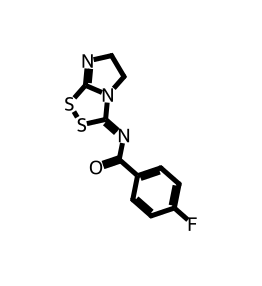 O=C(N=C1SSC2=NCCN21)c1ccc(F)cc1